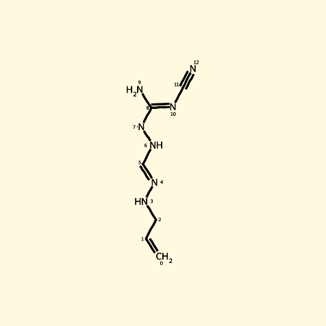 C=CCNN=CN[N]C(N)=NC#N